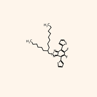 CCCCCCCCC(CCCCCC)Cn1nc2c(-c3cccs3)c(F)c(F)c(-c3cccs3)c2n1